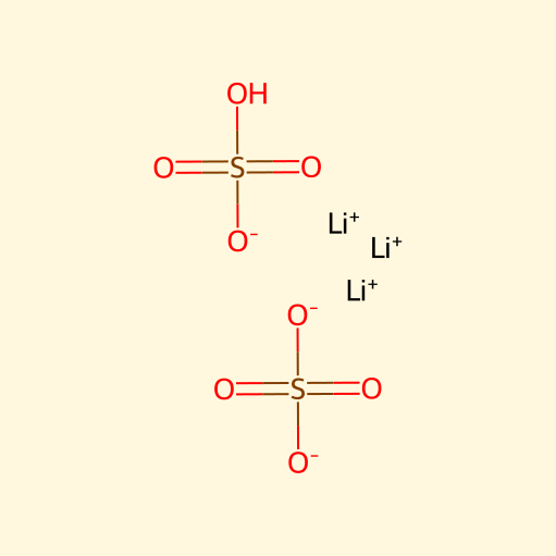 O=S(=O)([O-])O.O=S(=O)([O-])[O-].[Li+].[Li+].[Li+]